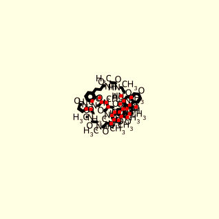 CCC[C@@H]1O[C@@H]2C[C@H]3[C@@H]4CCC5=CC(=O)C=C[C@@]56O[C@@H](C[C@]3(C)[C@]2(C(=O)COCNC(=O)[C@H](C)NC(=O)[C@H](C)NC(=O)CCc2ccc(N3C(=O)C=CC3=O)cc2OCCCC(=O)N(C)CC(=O)N(C)CC(=O)N(C)CC(=O)N(C)CC(=O)N(C)CC(=O)N(C)CC(=O)N(C)CC(=O)N(C)CC(=O)N(C)CC(=O)N(C)CC(C)=O)O1)[C@@H]46